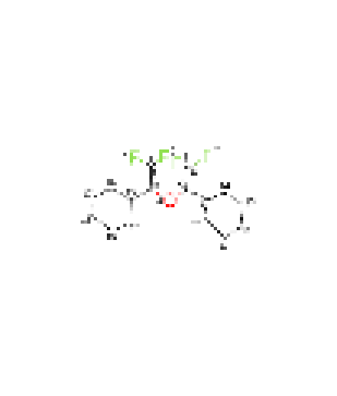 FC(F)=C(OC(=C(F)F)C1CCCCC1)C1CCCCC1